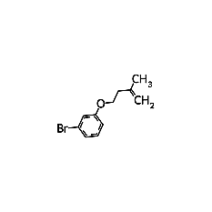 C=C(C)CCOc1cccc(Br)c1